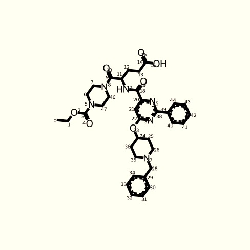 CCOC(=O)N1CCN(C(=O)C(CCC(=O)O)NC(=O)c2cc(OC3CCN(Cc4ccccc4)CC3)nc(-c3ccccc3)n2)CC1